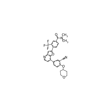 CN(C)C(=O)c1ccc(-c2cc3nccc(-c4ccc(OC5CCOCC5)c(C#N)c4)c3o2)c(C(F)(F)F)c1